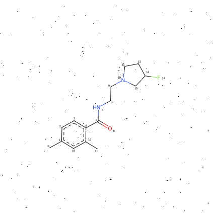 Cc1ccc(C(=O)NCCN2CCC(F)C2)c(C)c1